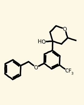 CC1CC(O)(c2cc(OCc3ccccc3)cc(C(F)(F)F)c2)CCO1